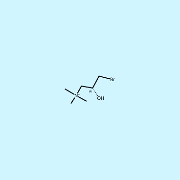 C[N+](C)(C)C[C@@H](O)CBr